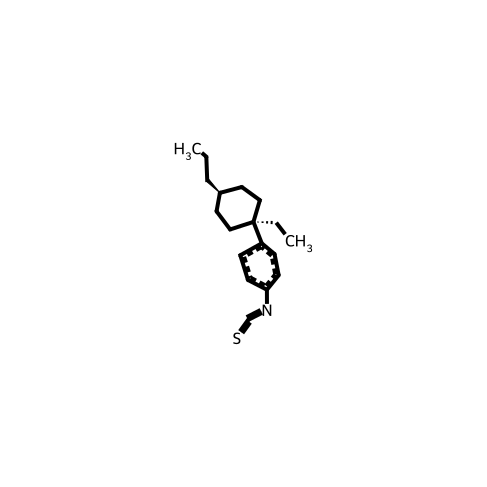 CCC[C@H]1CC[C@@](CC)(c2ccc(N=C=S)cc2)CC1